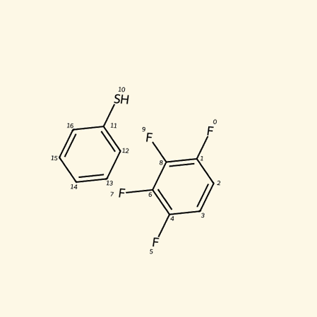 Fc1ccc(F)c(F)c1F.Sc1ccccc1